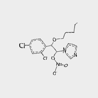 CCCCO[C](c1ccc(Cl)cc1Cl)C(O[N+](=O)[O-])n1ccnc1